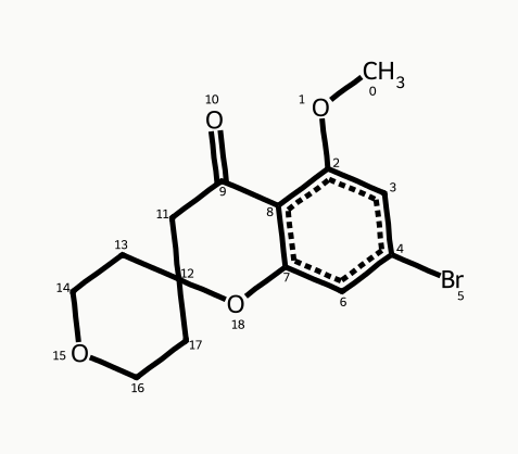 COc1cc(Br)cc2c1C(=O)CC1(CCOCC1)O2